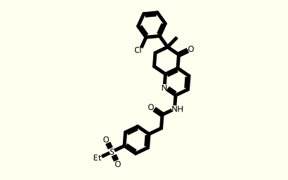 CCS(=O)(=O)c1ccc(CC(=O)Nc2ccc3c(n2)CCC(C)(c2ccccc2Cl)C3=O)cc1